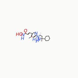 CC=C(/C=N\C(=C/C)N[C@H](C)CC(C)(N)C1CCCCC1)/C=C/C(=O)NO